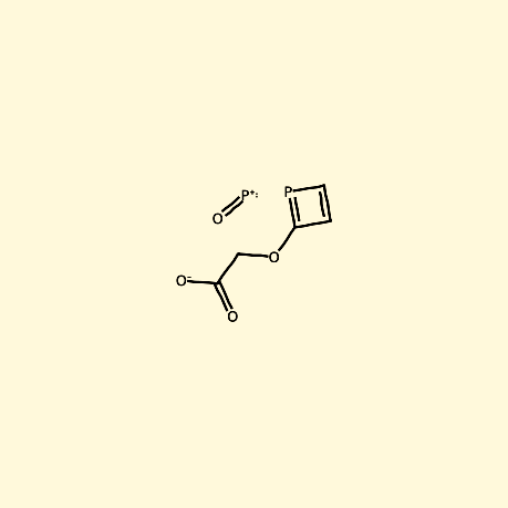 O=C([O-])COC1=PC=C1.O=[P+]